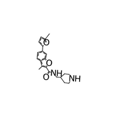 Cc1ccc(-c2ccc3c(C)c(C(=O)NCC4CCNCC4)oc3c2)o1